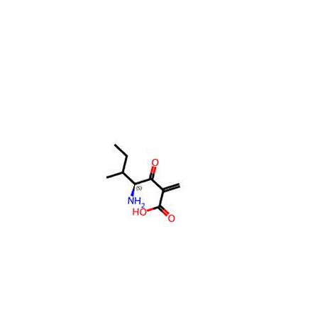 C=C(C(=O)O)C(=O)[C@@H](N)C(C)CC